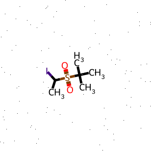 CC(I)S(=O)(=O)C(C)(C)C